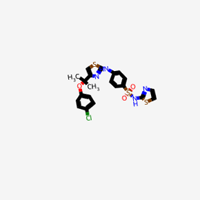 CC(C)(Oc1ccc(Cl)cc1)c1csc(Nc2ccc(S(=O)(=O)Nc3nccs3)cc2)n1